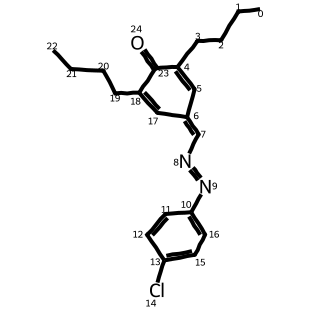 CCCCC1=CC(=C/N=N/c2ccc(Cl)cc2)C=C(CCCC)C1=O